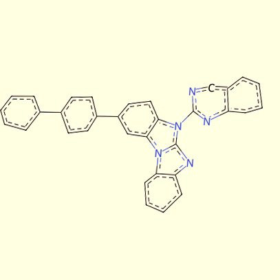 c1ccc(-c2ccc(-c3ccc4c(c3)n3c5ccccc5nc3n4-c3ncc4ccccc4n3)cc2)cc1